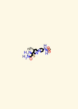 CCCc1cc(N2CCC(NNS(C)(=O)=O)CC2)nc2sc(C(N)=O)c(N)c12